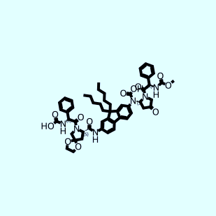 CCCCCC1(CCCCC)c2cc(NC(=O)[C@@H]3CC4(CN3C(=O)[C@H](NC(=O)O)c3ccccc3)OCCO4)ccc2-c2ccc(N(C(=O)O)[C@H]3CC(=O)CN3C(=O)[C@H](NC(=O)OC)c3ccccc3)cc21